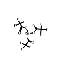 O=C(O[SiH](OC(=O)C(F)(F)F)OC(=O)C(F)(F)F)C(F)(F)F